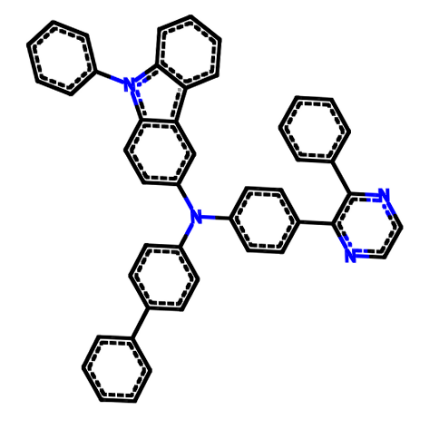 c1ccc(-c2ccc(N(c3ccc(-c4nccnc4-c4ccccc4)cc3)c3ccc4c(c3)c3ccccc3n4-c3ccccc3)cc2)cc1